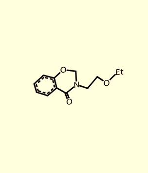 CCOCCN1COc2ccccc2C1=O